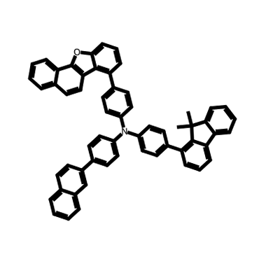 CC1(C)c2ccccc2-c2cccc(-c3ccc(N(c4ccc(-c5ccc6ccccc6c5)cc4)c4ccc(-c5cccc6oc7c8ccccc8ccc7c56)cc4)cc3)c21